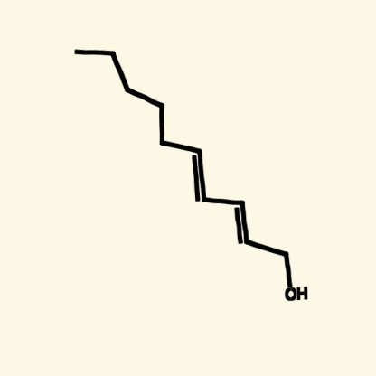 CCCCCC=CC=CCO